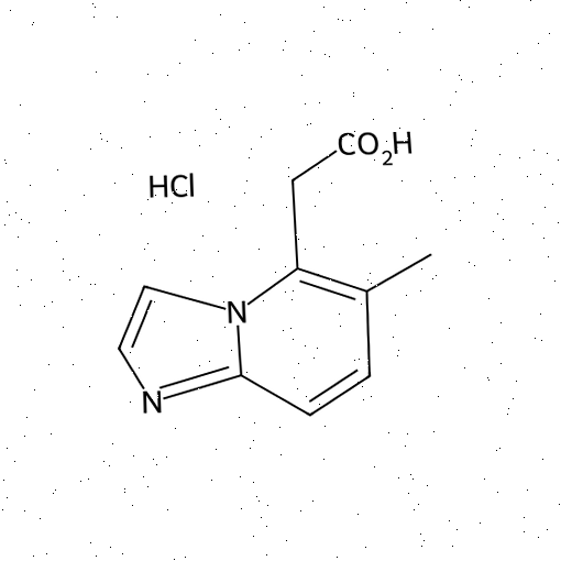 Cc1ccc2nccn2c1CC(=O)O.Cl